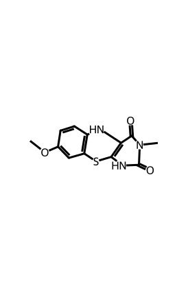 COc1ccc2c(c1)Sc1[nH]c(=O)n(C)c(=O)c1N2